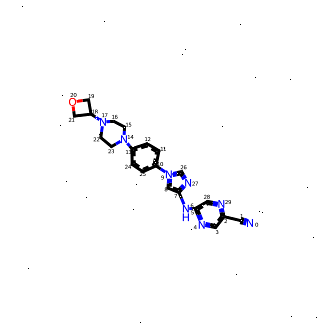 N#Cc1cnc(Nc2cn(-c3ccc(N4CCN(C5COC5)CC4)cc3)cn2)cn1